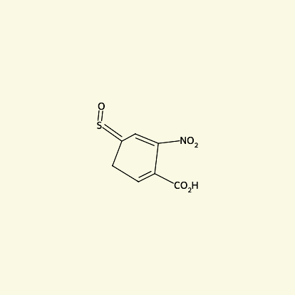 O=S=C1C=C([N+](=O)[O-])C(C(=O)O)=CC1